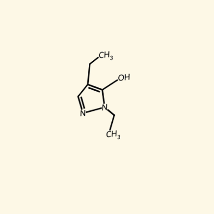 CCc1cnn(CC)c1O